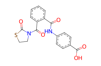 O=C(O)c1ccc(NC(=O)c2ccccc2C(=O)N2CCSC2=O)cc1